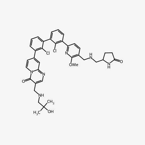 COc1nc(-c2cccc(-c3cccc(-c4ccn5c(=O)c(CNCC(C)(C)O)cnc5c4)c3Cl)c2Cl)ccc1CNCC1CCC(=O)N1